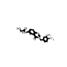 Cc1ccc(Cn2cnc3ccc(NC(=O)CO)cc3c2=O)cc1C